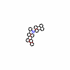 c1ccc(-c2ccc(N(c3ccc(-c4cccc5cccc(-c6ccccc6)c45)cc3)c3ccccc3-c3ccc(-c4cccc(-c5ccccc5)c4)cc3)cc2)cc1